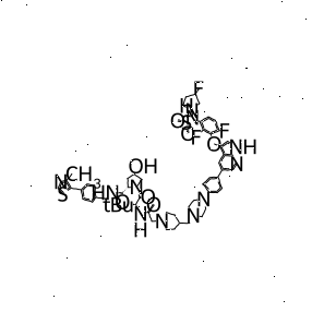 Cc1ncsc1-c1ccc(CNC(=O)[C@@H]2C[C@@H](O)CN2C(=O)[C@@H](NC(=O)CN2CCC(CN3CCN(c4ccc(-c5cnc6[nH]cc(Oc7c(F)ccc(N(N8CC[C@@H](F)C8)[SH](=O)=O)c7F)c6c5)cc4)CC3)CC2)C(C)(C)C)cc1